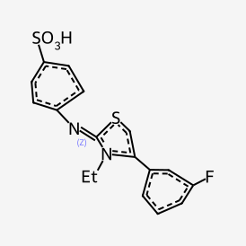 CCn1c(-c2cccc(F)c2)cs/c1=N\c1ccc(S(=O)(=O)O)cc1